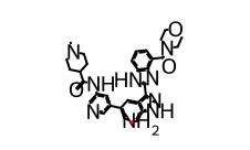 C/C=c1/[nH]nc(-c2nc3c(C(=O)N4CCOCC4)cccc3[nH]2)/c1=C/C(=C\N)c1cncc(NC(=O)C2CCN(C)CC2)c1